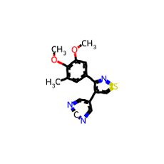 COc1cc(-c2nscc2-c2cncnc2)cc(C)c1OC